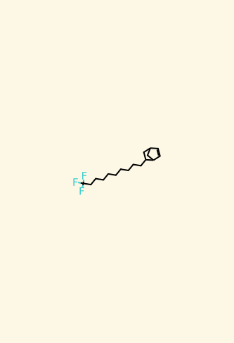 FC(F)(F)CCCCCCCCCC1CC2C=CC1C2